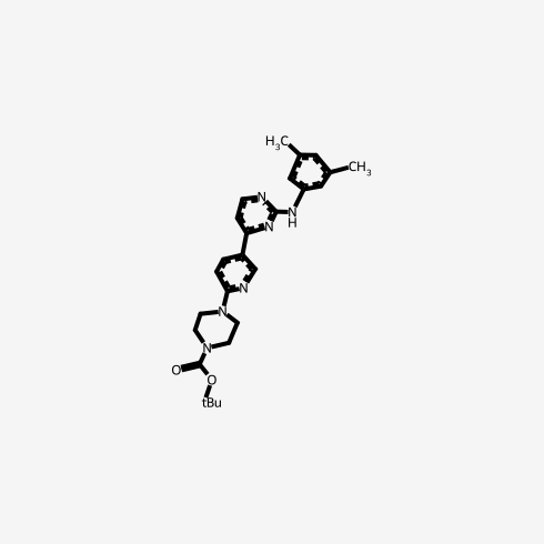 Cc1cc(C)cc(Nc2nccc(-c3ccc(N4CCN(C(=O)OC(C)(C)C)CC4)nc3)n2)c1